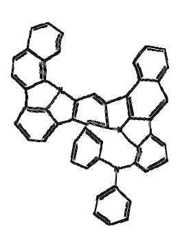 c1ccc(N(c2ccccc2)c2cccc3c4cc5ccccc5c5c6cc7c(cc6n(c23)c45)c2cccc3c4ccc5ccccc5c4n7c23)cc1